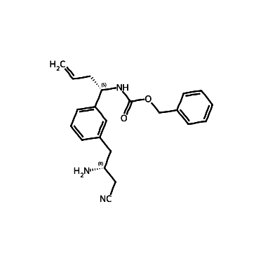 C=CC[C@H](NC(=O)OCc1ccccc1)c1cccc(C[C@@H](N)CC#N)c1